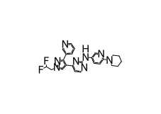 FC(F)Cn1cc(-c2ccnc(Nc3ccc(N4CCCCC4)nc3)n2)c(-c2cccnc2)n1